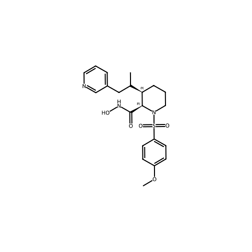 COc1ccc(S(=O)(=O)N2CCC[C@H](C(C)Cc3cccnc3)[C@@H]2C(=O)NO)cc1